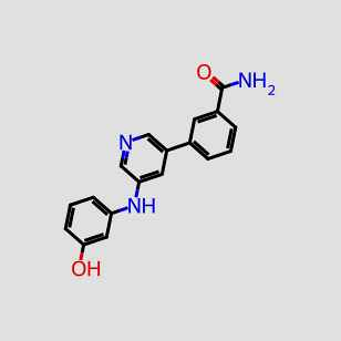 NC(=O)c1cccc(-c2cncc(Nc3cccc(O)c3)c2)c1